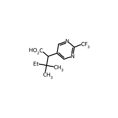 CCC(C)(C)C(C(=O)O)c1cnc(C(F)(F)F)nc1